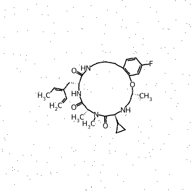 C=C/C(=C\C)C[C@H]1NC(=O)[C@@H](C)N(C)C(=O)[C@H](C2CC2)NC[C@@H](C)Oc2cc(F)ccc2CCCNC1=O